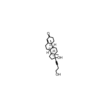 C[C@]12CCC(=O)C=C1CC[C@@H]1[C@H]2CC[C@@]2(C)[C@H]1CCC2(O)C#CCCO